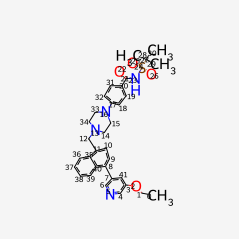 CCOc1cncc(-c2ccc(CN3CCN(c4ccc(C(=O)NS(=O)(=O)C(C)(C)C)cc4)CC3)c3ccccc23)c1